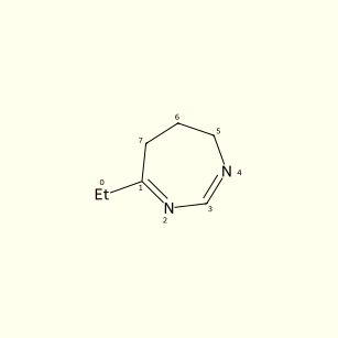 CCC1=NC=NCCC1